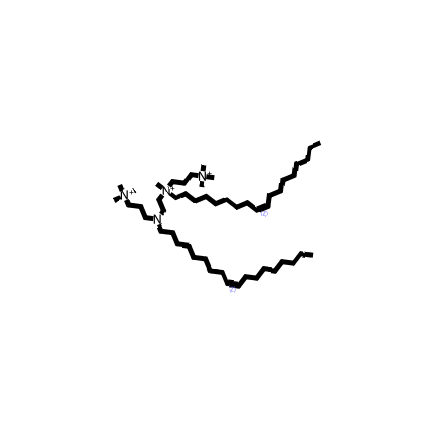 CCCCCCCC/C=C\CCCCCCCCN(CCC[N+](C)(C)C)CC[N+](C)(CCCCCCCC/C=C\CCCCCCCC)CCC[N+](C)(C)C